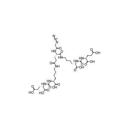 [N-]=[N+]=NCC(=O)N[C@@H](CCC(=O)NCCCC[C@H](NC(=O)N[C@@H](CCC(=O)O)C(=O)O)C(=O)O)C(=O)NCCCC[C@H](NC(=O)N[C@@H](CCC(=O)O)C(=O)O)C(=O)O